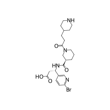 O=C(O)C[C@H](NC(=O)[C@@H]1CCCN(C(=O)CCC2CCNCC2)C1)c1ccc(Br)nc1